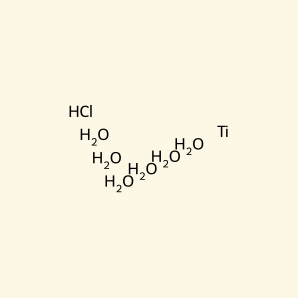 Cl.O.O.O.O.O.O.[Ti]